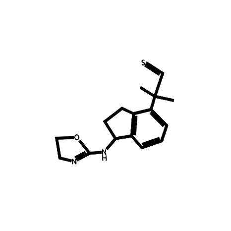 CC(C)(C=S)c1cccc2c1CCC2NC1=NCCO1